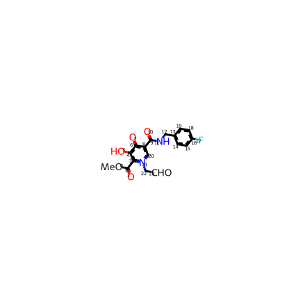 COC(=O)c1c(O)c(=O)c(C(=O)NCc2ccc(F)cc2)cn1CC=O